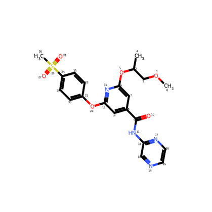 COCC(C)Oc1cc(C(=O)Nc2cnccn2)cc(Oc2ccc(S(C)(=O)=O)cc2)n1